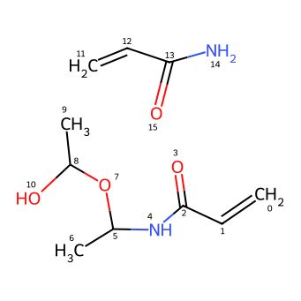 C=CC(=O)NC(C)OC(C)O.C=CC(N)=O